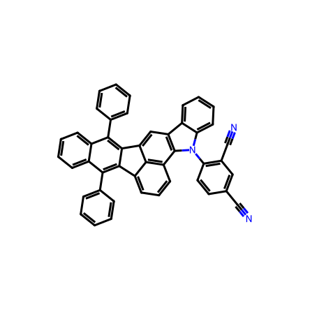 N#Cc1ccc(-n2c3ccccc3c3cc4c5c(cccc5c32)-c2c-4c(-c3ccccc3)c3ccccc3c2-c2ccccc2)c(C#N)c1